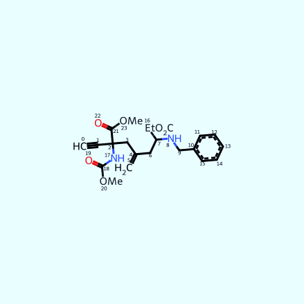 C#CC(CC(=C)CC(NCc1ccccc1)C(=O)OCC)(NC(=O)OC)C(=O)OC